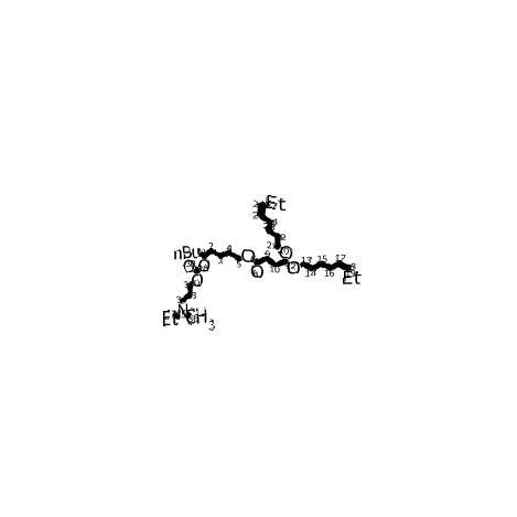 [CH2]CCCC(CCCCOC(=O)CCC(OCCCC/C=C\CC)OCCCC/C=C\CC)OC(=O)OCCCN(C)CC